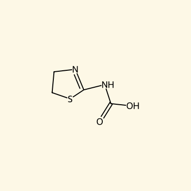 O=C(O)NC1=NCCS1